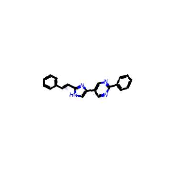 C(=C\c1nc(-c2cnc(-c3ccccc3)nc2)c[nH]1)/c1ccccc1